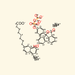 O=C([O-])CCCCCCCc1ccc2ccccc2c1.O=C1OC(c2ccc(O)cc2)(c2ccc(OP(=O)([O-])OP(=O)([O-])[O-])cc2)c2ccccc21.[Na+].[Na+].[Na+].[Na+]